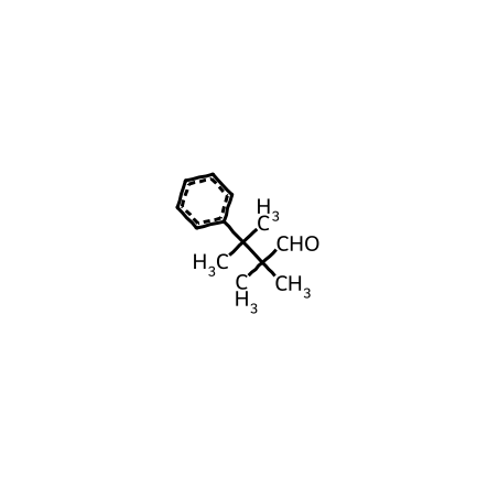 CC(C)(C=O)C(C)(C)c1ccccc1